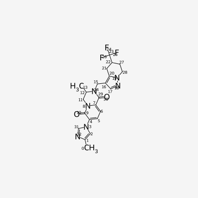 Cc1cn(-c2ccc3n(c2=O)CC(C)N(Cc2cnn4c2CC(C(F)(F)F)CC4)C3=O)cn1